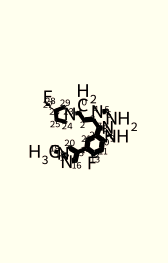 C=C(/C=C(\N=C/N)c1n[nH]c2cc(F)c(-c3cnn(C)c3)cc12)N1CC[C@H](CF)C1